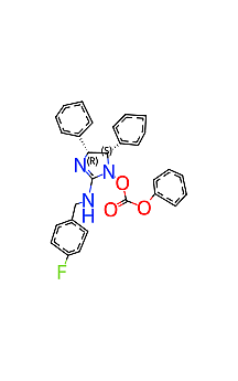 O=C(Oc1ccccc1)ON1C(NCc2ccc(F)cc2)=N[C@H](c2ccccc2)[C@@H]1c1ccccc1